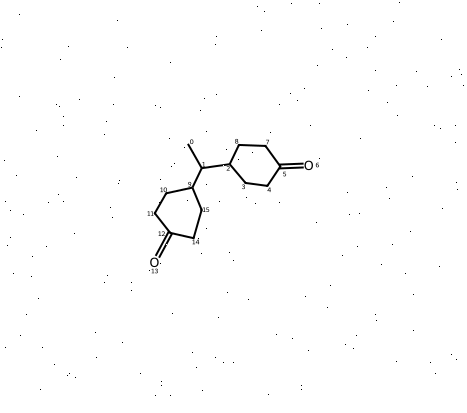 CC(C1CCC(=O)CC1)C1CCC(=O)CC1